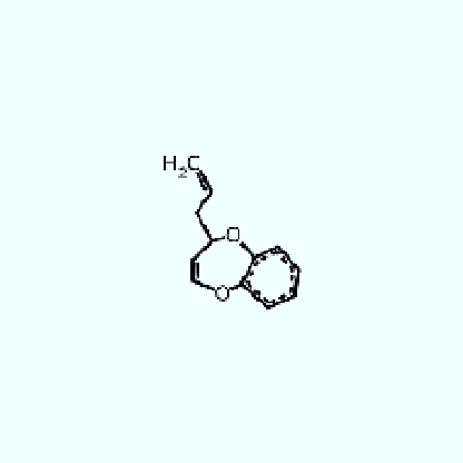 C=CCC1C=COc2ccccc2O1